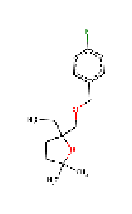 CCC1(COCc2ccc(F)cc2)CCC(C)(C)O1